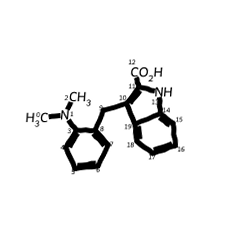 CN(C)c1ccccc1Cc1c(C(=O)O)[nH]c2ccccc12